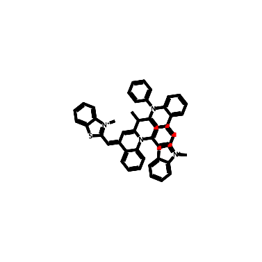 CC(C1=C/C(=C\c2sc3ccccc3[n+]2C)c2ccccc2N1c1ccccc1)C1=C/C(=C\c2sc3ccccc3[n+]2C)c2ccccc2N1c1ccccc1